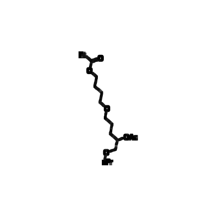 [CH2]CCOCC(CCCOCCCCOC(=O)CC)OC(C)=O